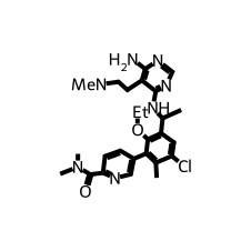 CCOc1c(C(C)Nc2ncnc(N)c2CCNC)cc(Cl)c(C)c1-c1ccc(C(=O)N(C)C)nc1